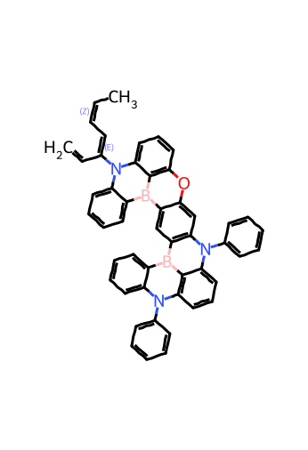 C=C/C(=C\C=C/C)N1c2ccccc2B2c3cc4c(cc3Oc3cccc1c32)N(c1ccccc1)c1cccc2c1B4c1ccccc1N2c1ccccc1